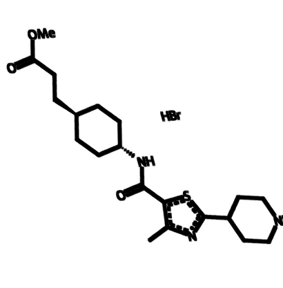 Br.COC(=O)CC[C@H]1CC[C@H](NC(=O)c2sc(C3CCNCC3)nc2C)CC1